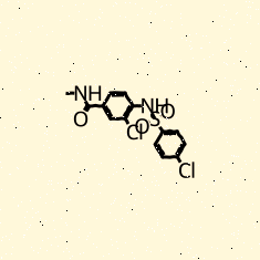 CNC(=O)c1ccc(NS(=O)(=O)c2ccc(Cl)cc2)c(Cl)c1